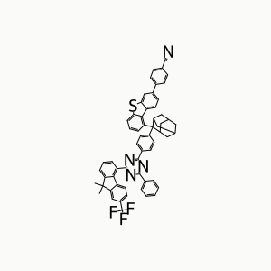 CC1(C)c2cc(C(F)(F)F)ccc2-c2c(-c3nc(-c4ccccc4)nc(-c4ccc(C5(c6cccc7sc8cc(-c9ccc(C#N)cc9)ccc8c67)C6CC7CC(C6)CC5C7)cc4)n3)cccc21